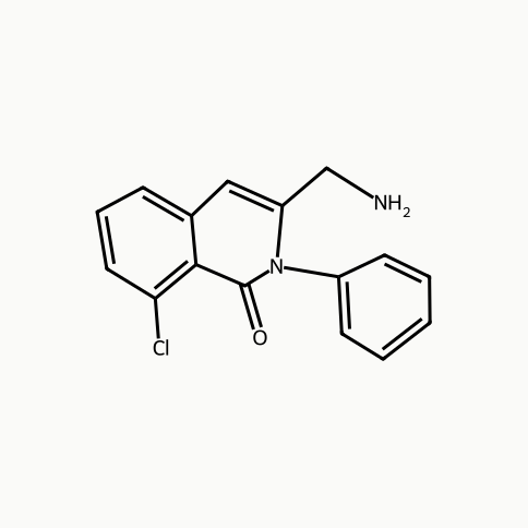 NCc1cc2cccc(Cl)c2c(=O)n1-c1ccccc1